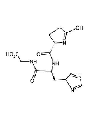 O=C(O)CNC(=O)[C@H](CC1C=NC=N1)NC(=O)[C@@H]1CCC(O)=N1